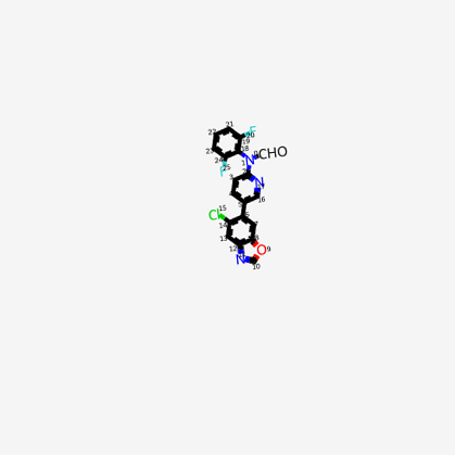 O=CN(c1ccc(-c2cc3ocnc3cc2Cl)cn1)c1c(F)cccc1F